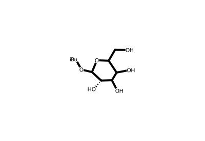 CCC(C)OC1OC(CO)C(O)C(O)[C@@H]1O